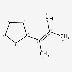 CC([SiH3])=C(C)C1CCCC1